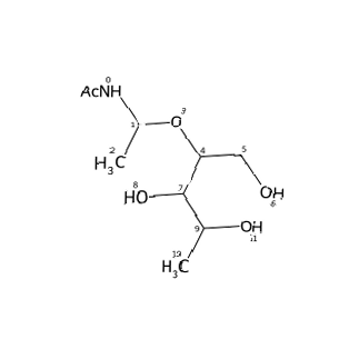 CC(=O)NC(C)OC(CO)C(O)C(C)O